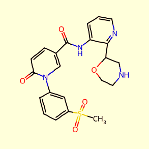 CS(=O)(=O)c1cccc(-n2cc(C(=O)Nc3cccnc3C3CNCCO3)ccc2=O)c1